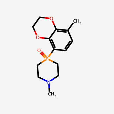 Cc1ccc(P2(=O)CCN(C)CC2)c2c1OCCO2